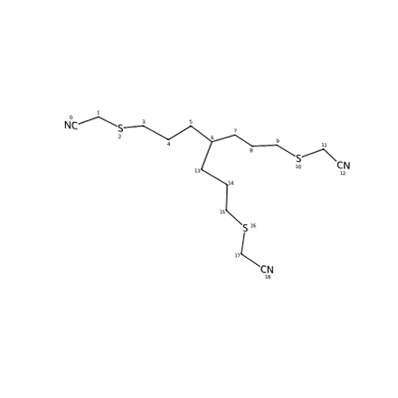 N#CCSCCCC(CCCSCC#N)CCCSCC#N